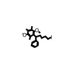 COc1c(C)c(C)c(OC)c(C(CCCCI)c2ccccc2)c1C